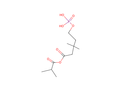 CC(C)C(=O)OC(=O)CC(C)(C)CCOP(=O)(O)O